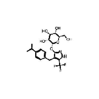 CC(C)c1ccc(Cc2c(O[C@H]3O[C@H](CO)[C@@H](O)[C@H](O)[C@H]3O)n[nH]c2C(F)(F)F)cc1